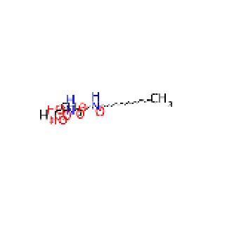 CCCCCCCCC=CCCCCCCCC(=O)NCCCOC(=O)CCNC(=O)C(C)(O)C(C)CO